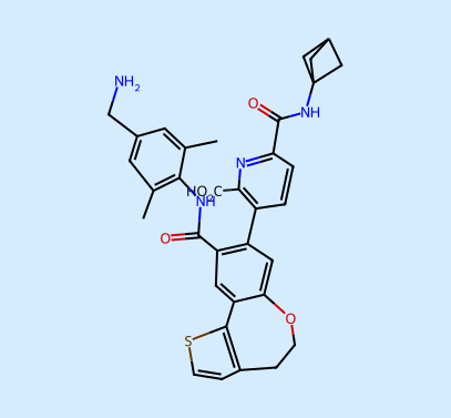 Cc1cc(CN)cc(C)c1NC(=O)c1cc2c(cc1-c1ccc(C(=O)NC34CC(C3)C4)nc1C(=O)O)OCCc1ccsc1-2